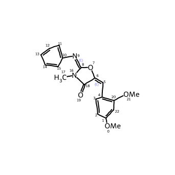 COc1ccc(/C=C2/O/C(=N/c3ccccc3)N(C)C2=O)c(OC)c1